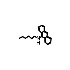 CCCCCCNc1c2ccccc2cc2ccccc12